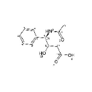 CC(=O)N[C@H](c1ccccc1)C(O)CC(=O)O